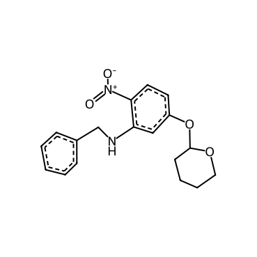 O=[N+]([O-])c1ccc(OC2CCCCO2)cc1NCc1ccccc1